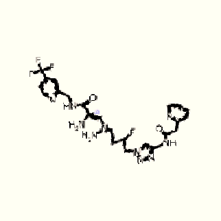 N/C(=C\N(N)CCC(F)Cn1cc(NC(=O)Cc2ccccn2)nn1)C(=O)NCc1cc(C(F)(F)F)ccn1